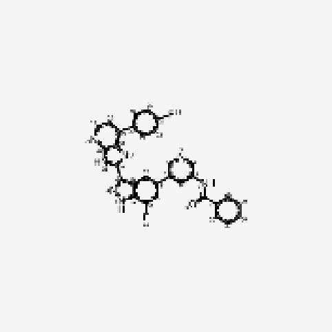 O=C(Nc1cncc(-c2cc(F)c3[nH]nc(-c4nc5c(-c6ccc(F)cc6)ccnc5[nH]4)c3c2)c1)c1ccccc1